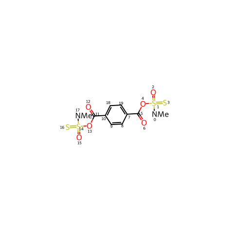 CNS(=O)(=S)OC(=O)c1ccc(C(=O)OS(=O)(=S)NC)cc1